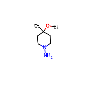 CCOC1(CC)CCN(N)CC1